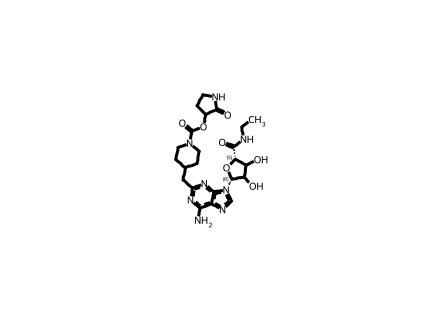 CCNC(=O)[C@H]1O[C@@H](n2cnc3c(N)nc(CC4CCN(C(=O)OC5CCNC5=O)CC4)nc32)C(O)C1O